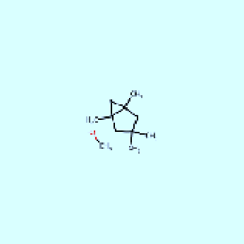 CC1(C)CC2(C)CC2(C)C1.C[O]